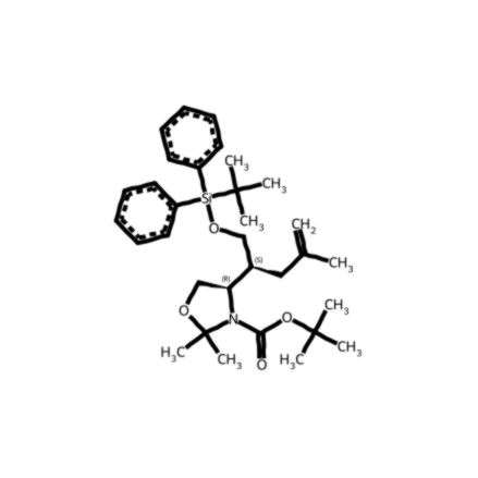 C=C(C)C[C@H](CO[Si](c1ccccc1)(c1ccccc1)C(C)(C)C)[C@@H]1COC(C)(C)N1C(=O)OC(C)(C)C